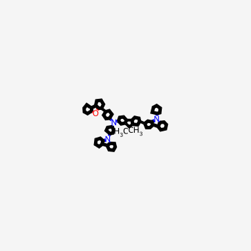 CC1(C)c2cc(-c3ccc4c5ccccc5n(-c5ccccc5)c4c3)ccc2-c2ccc(N(c3ccc(-c4cccc5c4oc4ccccc45)cc3)c3ccc(-n4c5ccccc5c5ccccc54)cc3)cc21